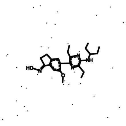 CCc1nc(-c2cc3c(cc2OC)C(=NO)CC3)c(CC)nc1NC(CC)CC